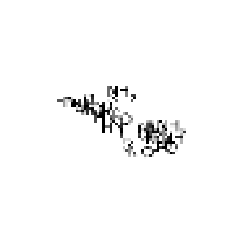 CCCCOc1nc(N)c2[nH]c(=O)n(Cc3ccc(CN4CCC(CCNC(=O)[C@H](CCCCN)NC(=O)CONC(=O)OC(C)(C)C)CC4)cc3)c2n1